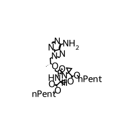 CCCCCOC(=O)C1(NP(=O)(CO[C@H](C)Cn2cnc3c(N)ncnc32)NC2(C(=O)OCCCCC)CC2)CC1